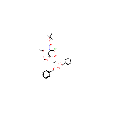 CC(=O)O[C@H]1[C@H](OC(C)=O)[C@@H](NC(=O)OC(C)(C)C)C(Cl)O[C@@H]1CCP(=O)(OCc1ccccc1)OCc1ccccc1